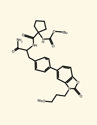 COCCCn1c(=O)oc2ccc(-c3ccc(CC(NC(=O)C4(NC(=O)OC(C)(C)C)CCCC4)C(N)=O)cc3)cc21